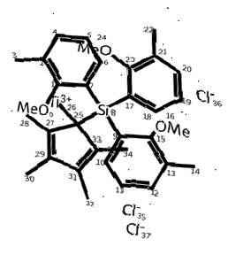 COc1c(C)cccc1[Si](c1cccc(C)c1OC)(c1cccc(C)c1OC)[C]1([Ti+3])C(C)=C(C)C(C)=C1C.[Cl-].[Cl-].[Cl-]